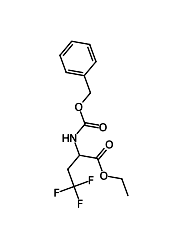 CCOC(=O)C(CC(F)(F)F)NC(=O)OCc1ccccc1